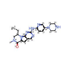 CC(C)CC1CN(C)C(=O)c2cc3cnc(Nc4ccc(N5CCNCC5)cn4)nc3n21